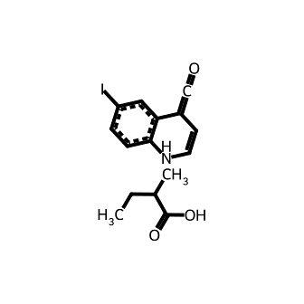 CCC(C)C(=O)O.O=C=C1C=CNc2ccc(I)cc21